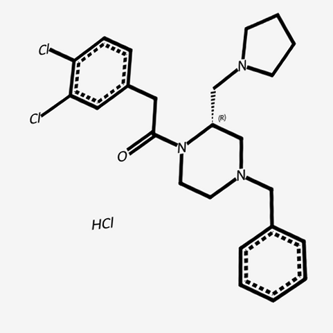 Cl.O=C(Cc1ccc(Cl)c(Cl)c1)N1CCN(Cc2ccccc2)C[C@H]1CN1CCCC1